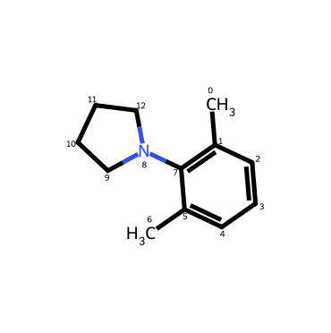 Cc1cccc(C)c1N1CCCC1